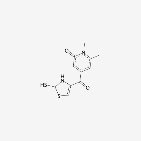 Cc1cc(C(=O)C2=CSC(S)N2)cc(=O)n1C